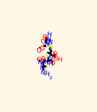 CO/N=C(\C(=O)NC1C(=O)N2C(C(=O)O)=C(/C=C/Sc3n[nH]c(=O)c(=O)n3CCOC=O)CSC12)c1csc(N)n1